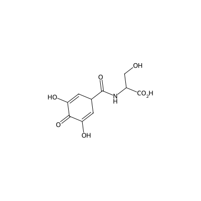 O=C1C(O)=CC(C(=O)NC(CO)C(=O)O)C=C1O